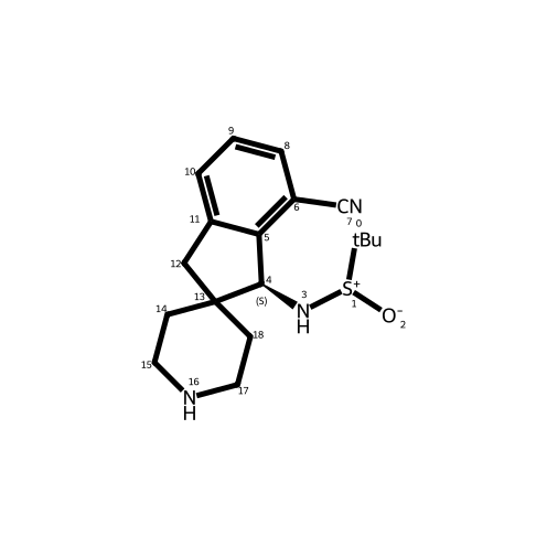 CC(C)(C)[S+]([O-])N[C@@H]1c2c(C#N)cccc2CC12CCNCC2